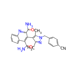 Cc1nn(Cc2ccc(C#N)cc2)c(C)c1-c1c(C(N)=O)nc2ccccc2c1C(N)=O